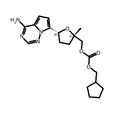 C[C@@]1(COC(=O)OCC2CCCC2)CC[C@H](c2ccc3c(N)ncnn23)O1